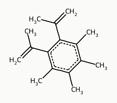 C=C(C)c1c(C)c(C)c(C)c(C)c1C(=C)C